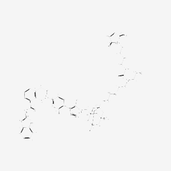 Cc1c(-c2ccc(N3CCc4cccc(C(=O)Nc5nc6ccccc6s5)c4C3)nc2C(=O)O)cnn1CC12CC3(C)CC(C)(C1)CC(OCCOCCN(CCS(=O)(=O)O)C(=O)CCCCCN1C(=O)C=CC1=O)(C3)C2